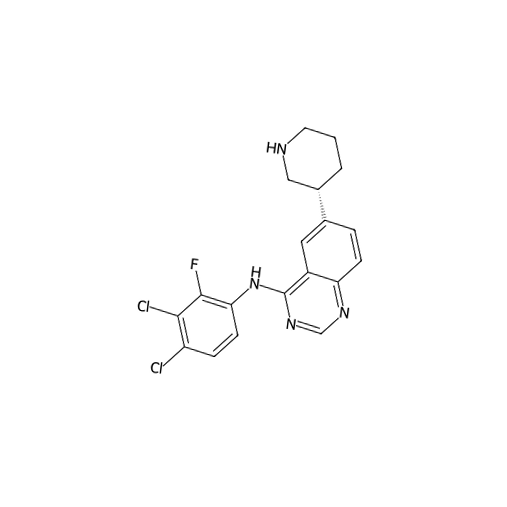 Fc1c(Nc2ncnc3ccc([C@H]4CCCNC4)cc23)ccc(Cl)c1Cl